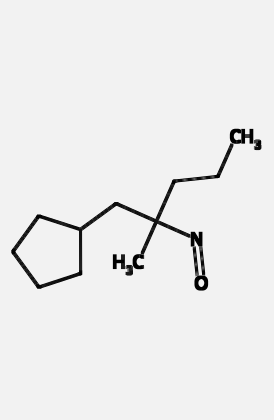 CCCC(C)(CC1CCCC1)N=O